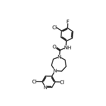 O=C(Nc1ccc(F)c(Cl)c1)N1CCCN(c2cc(Cl)ncc2Cl)CC1